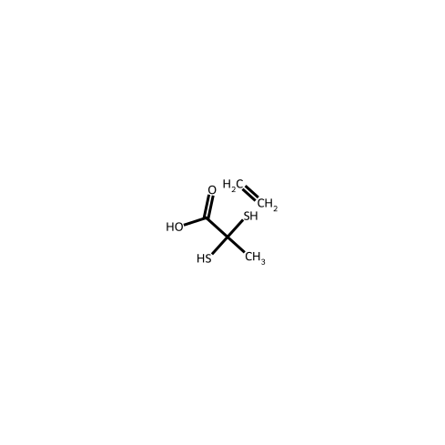 C=C.CC(S)(S)C(=O)O